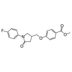 COC(=O)c1ccc(OCC2CC(=O)N(c3ccc(F)cc3)C2)cc1